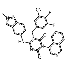 Cn1cc2cc(Nc3nc(=O)n(-c4cncc5ccccc45)c(=O)n3Cc3cc(F)c(F)c(C#N)c3)ccc2n1